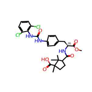 COC(=O)[C@H](Cc1ccc(NC(=O)Nc2c(Cl)cccc2Cl)cc1)NC(=O)C1CCC(C)(C(=O)O)C1(C)C